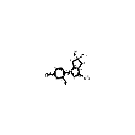 Fc1cc(Cl)ccc1-n1cc(C(F)(F)F)c2c1CC(F)(F)C2